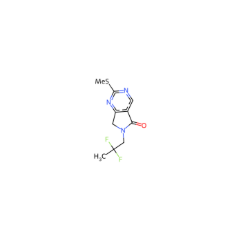 CSc1ncc2c(n1)CN(CC(C)(F)F)C2=O